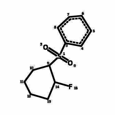 O=S(=O)(c1ccccc1)C1CCCCC1F